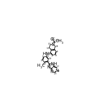 Cc1ccc(Nc2cccc3c2CCN([S+](C)[O-])C3)cc1-c1nc2ncncc2[nH]1